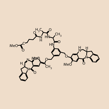 C=C1N=C[C@@H]2Cc3ccccc3N2C(=O)/C1=C/C(OC)=C(\C)OCc1cc(COc2cc3c(cc2OC)C(=O)N2c4ccccc4C[C@H]2CN3)cc(NC(=O)C(C)NC(=O)C(C)NC(=O)CCCCC(=O)OC)c1